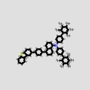 [2H]c1c([2H])c([2H])c(-c2ccc(N(c3ccc(-c4c([2H])c([2H])c([2H])c([2H])c4[2H])cc3)c3cccc4c(-c5ccc(-c6ccc7sc8ccccc8c7c6)cc5)cccc34)cc2)c([2H])c1[2H]